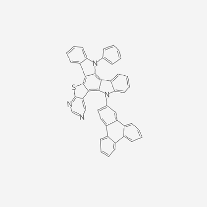 c1ccc(-n2c3ccccc3c3c4sc5ncncc5c4c4c(c5ccccc5n4-c4ccc5c6ccccc6c6ccccc6c5c4)c32)cc1